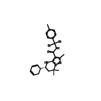 CCC(CC)(NC(=O)c1c(C)nn2c1N[C@@H](C1C=CC=CC1)CC2(C)C)c1ccc(C)cc1